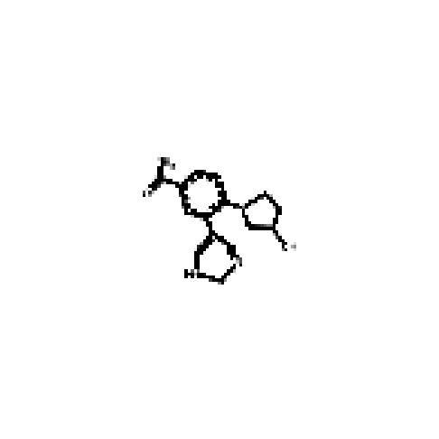 NC(=O)c1cnc(N2CCC(O)C2)c(C2=CNCN=C2)c1